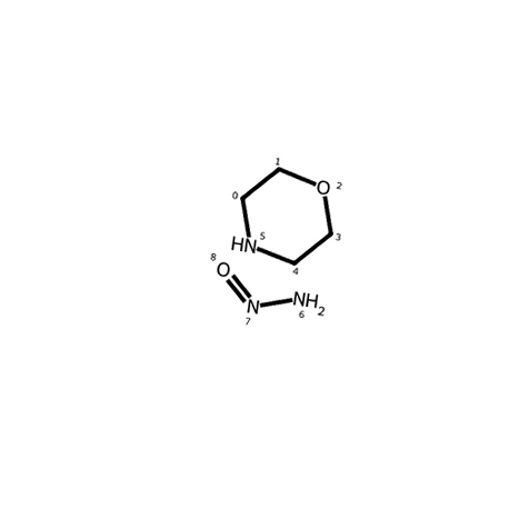 C1COCCN1.NN=O